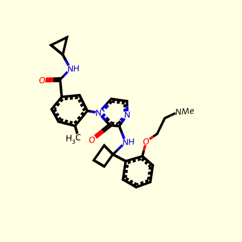 CNCCOc1ccccc1C1(Nc2nccn(-c3cc(C(=O)NC4CC4)ccc3C)c2=O)CCC1